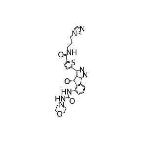 O=C(Nc1cccc2c1C(=O)C1=C(c3ccc(C(=O)NCCCn4ccnc4)s3)N=NC12)NN1CCOCC1